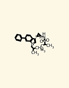 CC(C)Cn1cc([C@@H]2C[C@H]2NS(=O)(=O)C(C)C)c2ccc(-c3ccccc3)cc21